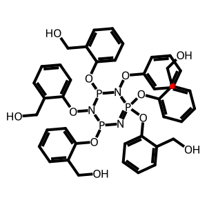 OCc1ccccc1ON1P(Oc2ccccc2CO)N=P(Oc2ccccc2CO)(Oc2ccccc2CO)N(Oc2ccccc2)P1Oc1ccccc1CO